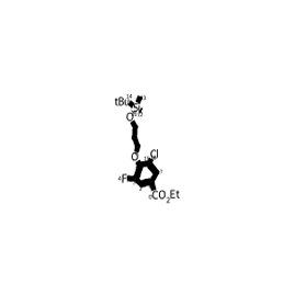 CCOC(=O)c1cc(F)c(OCCCO[Si](C)(C)C(C)(C)C)c(Cl)c1